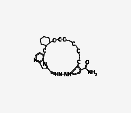 NC(=O)c1ccc2cc1CCCCCCCCCC1CCCCC1Cc1ccnc3c1N=C(C#CNN2)C3